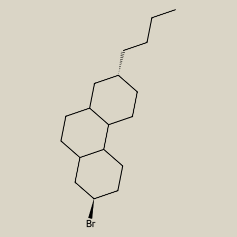 CCCC[C@@H]1CCC2C(CCC3C[C@H](Br)CCC32)C1